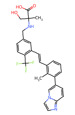 Cc1c(/C=C/c2cc(CNC(C)(CO)C(=O)O)ccc2C(F)(F)F)cccc1-c1ccc2nccn2c1